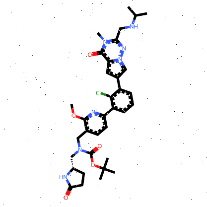 COc1nc(-c2cccc(-c3cc4c(=O)n(C)c(CNC(C)C)nn4c3)c2Cl)ccc1CN(C[C@@H]1CCC(=O)N1)C(=O)OC(C)(C)C